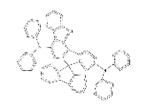 c1ccc(N(c2ccccc2)c2ccc3c(c2)C2(c4ccccc4-c4ccccc42)c2cc(N(c4ccccc4)c4ccccc4)c4c(oc5ccccc54)c2-3)cc1